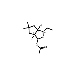 CC[C@H]1SC(OC(C)=O)[C@@H]2CC(C)(C)C[C@H]12